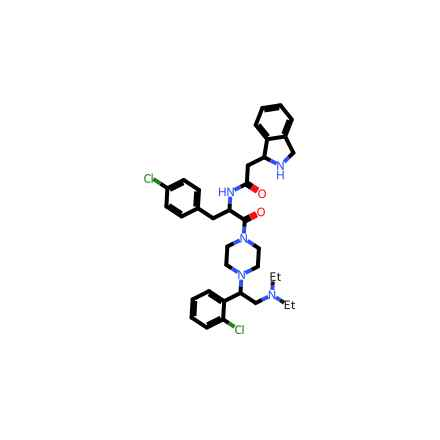 CCN(CC)CC(c1ccccc1Cl)N1CCN(C(=O)C(Cc2ccc(Cl)cc2)NC(=O)CC2NCc3ccccc32)CC1